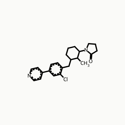 CC1C(Cc2ccc(-c3ccncc3)cc2Cl)CCCC1N1CCCC1=O